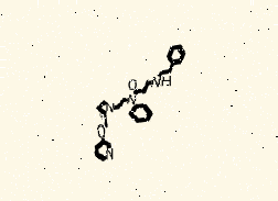 O=C(CCNCCc1ccccc1)N(CCN1CC[C@@H]1COc1cccnc1)C1CCCCC1